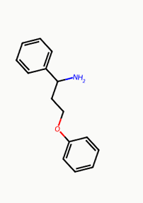 NC(CCOc1ccccc1)c1ccccc1